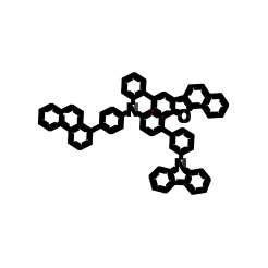 c1cc(-c2ccc(N(c3ccc(-c4cccc5c4ccc4ccccc45)cc3)c3ccccc3-c3ccc4oc5c6ccccc6ccc5c4c3)cc2)cc(-n2c3ccccc3c3ccccc32)c1